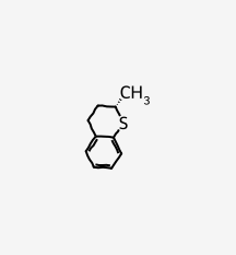 C[C@H]1CCc2ccccc2S1